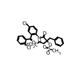 CCOC(=O)CCC(Cc1ccccc1)(OS(C)(=O)=O)C(=O)Nc1ccc(Cl)cc1C(=O)c1ccccc1Cl